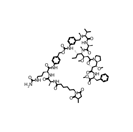 CC[C@H](C)[C@@H]([C@@H](CC(=O)N1CCC[C@H]1[C@H](OC)[C@@H](C)C(=O)N[C@@H](Cc1ccccc1)C(=O)OC)OC)N(C)C(=O)[C@H](C)NC(=O)[C@H](C(C)C)N(C)Cc1cccc(NC(=O)OCc2ccc(NC(=O)[C@H](CCCNC(N)=O)NC(=O)[C@H](C)NC(=O)CCCCCN3C(=O)CC(C)C3=O)cc2)c1